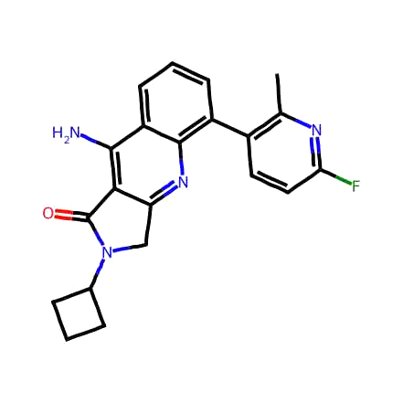 Cc1nc(F)ccc1-c1cccc2c(N)c3c(nc12)CN(C1CCC1)C3=O